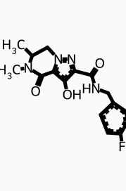 CC1Cn2nc(C(=O)NCc3ccc(F)cc3)c(O)c2C(=O)N1C